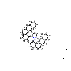 c1ccc2cc3c(ccc4cccc(-c5cccn5-c5cccc6ccc7cc8ccccc8cc7c56)c43)cc2c1